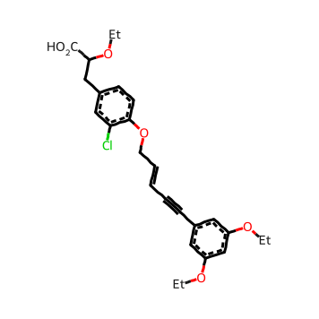 CCOc1cc(C#CC=CCOc2ccc(CC(OCC)C(=O)O)cc2Cl)cc(OCC)c1